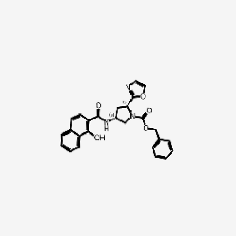 O=C(N[C@H]1C[C@@H](c2ncco2)N(C(=O)OCc2ccccc2)C1)c1ccc2ccccc2c1O